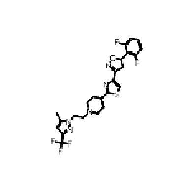 Cc1cc(C(F)(F)F)nn1C[CH]N1CCC(c2nc(C3=NOC(c4c(F)cccc4F)C3)cs2)CC1